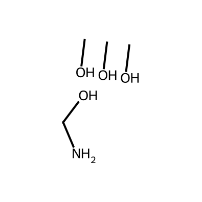 CO.CO.CO.NCO